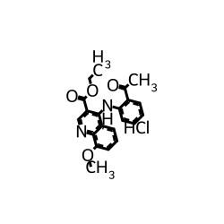 CCOC(=O)c1cnc2c(OC)cccc2c1Nc1ccccc1C(C)=O.Cl